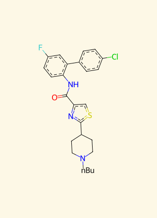 CCCCN1CCC(c2nc(C(=O)Nc3ccc(F)cc3-c3ccc(Cl)cc3)cs2)CC1